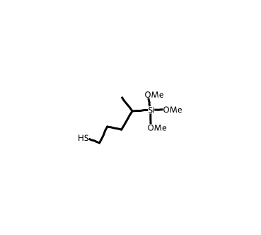 CO[Si](OC)(OC)C(C)CCCS